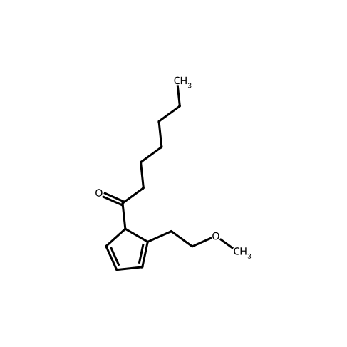 CCCCCCC(=O)C1C=CC=C1CCOC